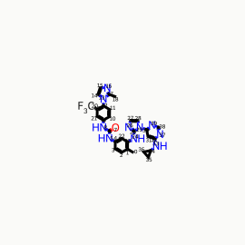 Cc1ccc(NC(=O)Nc2ccc(-n3ccnc3C)c(C(F)(F)F)c2)cc1Nc1nccn1-c1cc(NC2CC2)ncn1